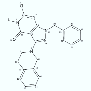 Cn1c(Cl)nc2c(c(N3CCc4ccccc4C3)nn2Cc2ccccc2)c1=O